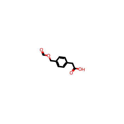 O=COCc1ccc(CC(=O)O)cc1